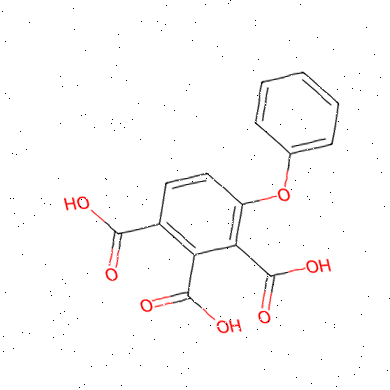 O=C(O)c1ccc(Oc2ccccc2)c(C(=O)O)c1C(=O)O